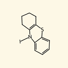 IN1C2=C(CCCC2)Sc2ccccc21